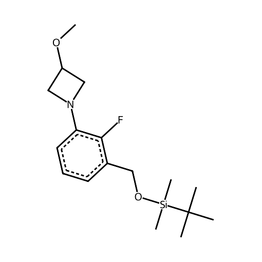 COC1CN(c2cccc(CO[Si](C)(C)C(C)(C)C)c2F)C1